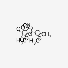 COc1cc(-c2cc(=O)c3c(OC)c(C=O)c(C=O)c(OC)c3o2)ccc1C